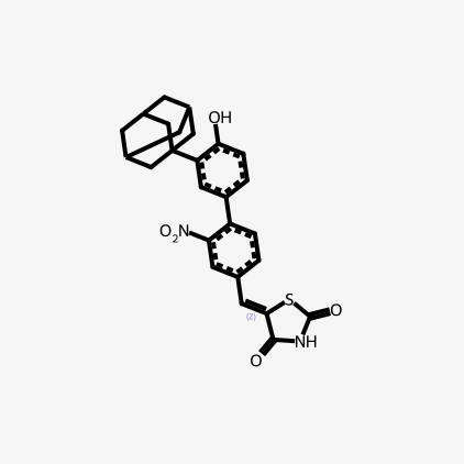 O=C1NC(=O)/C(=C/c2ccc(-c3ccc(O)c(C45CC6CC(CC(C6)C4)C5)c3)c([N+](=O)[O-])c2)S1